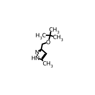 Cc1cc(COC(C)(C)C)n[nH]1